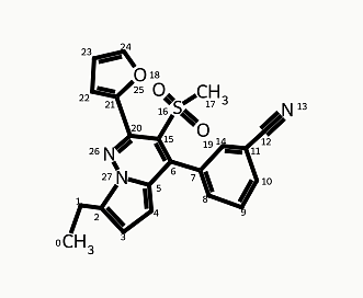 CCc1ccc2c(-c3cccc(C#N)c3)c(S(C)(=O)=O)c(-c3ccco3)nn12